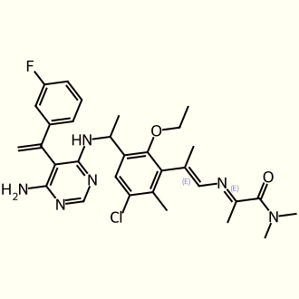 C=C(c1cccc(F)c1)c1c(N)ncnc1NC(C)c1cc(Cl)c(C)c(/C(C)=C/N=C(\C)C(=O)N(C)C)c1OCC